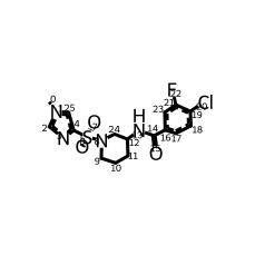 Cn1cnc(S(=O)(=O)N2CCCC(NC(=O)c3ccc(Cl)c(F)c3)C2)c1